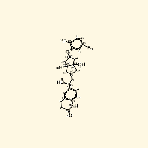 O=C1CCc2cc([C@@H](O)CN3C[C@@H]4C[C@@H](Oc5cc(F)ccc5F)C[C@]4(O)C3)ccc2N1